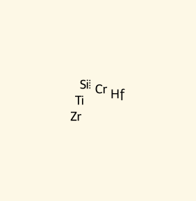 [Cr].[Hf].[Si].[Ti].[Zr]